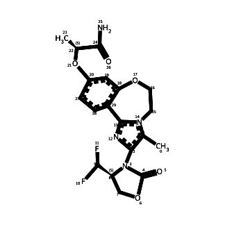 Cc1c(N2C(=O)OC[C@H]2C(F)F)nc2n1CCOc1cc(O[C@@H](C)C(N)=O)ccc1-2